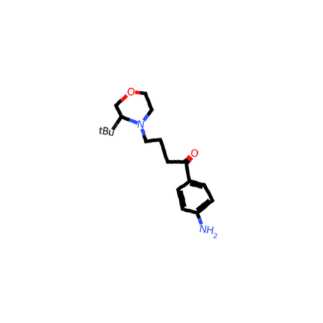 CC(C)(C)C1COCCN1CCCC(=O)c1ccc(N)cc1